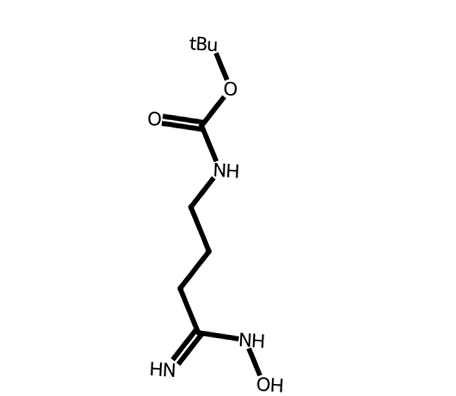 CC(C)(C)OC(=O)NCCCC(=N)NO